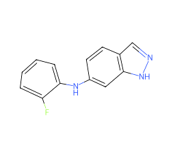 Fc1ccccc1Nc1ccc2cn[nH]c2c1